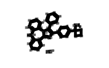 Cl.NC1(c2ccc(-c3nc4n(c3-c3ccccc3)-c3cccnc3Nc3ccccc3-4)cc2)CCC1